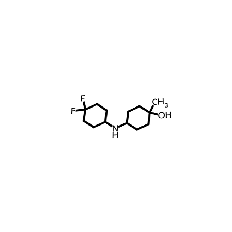 CC1(O)CCC(NC2CCC(F)(F)CC2)CC1